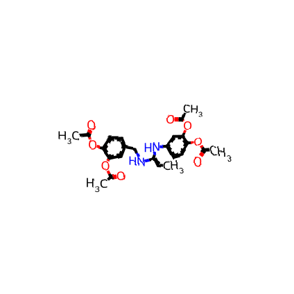 CC=C(NCc1ccc(OC(C)=O)c(OC(C)=O)c1)Nc1ccc(OC(C)=O)c(OC(C)=O)c1